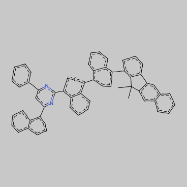 CC1(C)c2cc3ccccc3cc2-c2cccc(-c3ccc(-c4ccc(-c5nc(-c6ccccc6)cc(-c6cccc7ccccc67)n5)c5ccccc45)c4ccccc34)c21